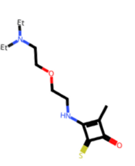 CCN(CC)CCOCCNc1c(C)c(=O)c1=S